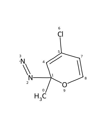 CC1(N=[N])C=C(Cl)C=CO1